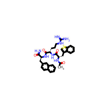 CC(=O)N[C@@H](Cc1csc2ccccc12)C(=O)N[C@@H](CCCNC(=N)N)C(=O)N[C@@H](Cc1ccc2ccccc2c1)C(N)=O